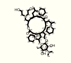 CC(CC1=CC(CN(CCO)CCO)COC(=O)CC(O)C(CC(C)N2CCCCC2)C(CCO[C@@H]2O[C@H](C)[C@@H](O)[C@H](N(C)C)[C@H]2O)CCC(CC(C)N2CCCCC2)C(=O)C=C1)N1CCCCC1